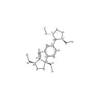 CC[C@@H]1CC[C@@H](CC)P1c1ccc([C@]2(CC)CC[C@@H](CC)[PH]2=O)cc1